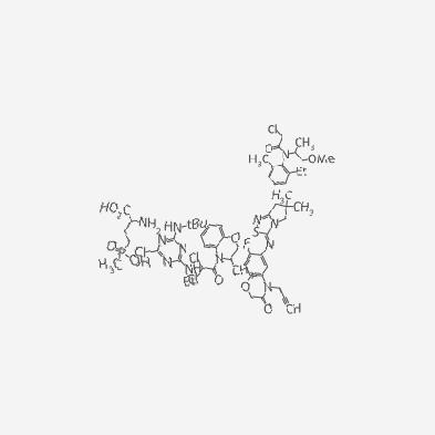 C#CCN1C(=O)COc2cc(F)c(/N=c3\snc4n3CC(C)(C)C4)cc21.CC1COc2ccccc2N1C(=O)C(Cl)Cl.CCNc1nc(Cl)nc(NC(C)(C)C)n1.CCc1cccc(C)c1N(C(=O)CCl)C(C)COC.CP(=O)(O)CCC(N)C(=O)O